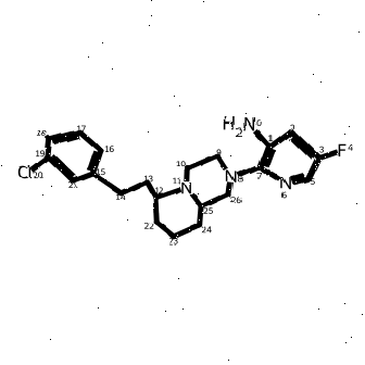 Nc1cc(F)cnc1N1CCN2C(CCc3cccc(Cl)c3)CCCC2C1